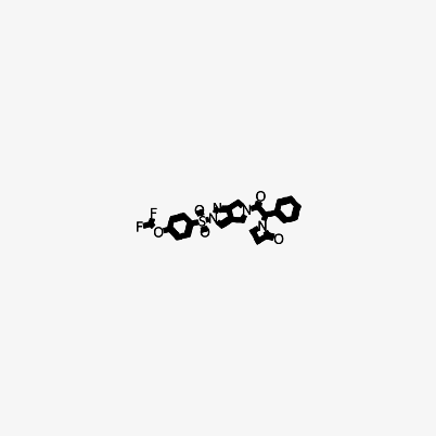 O=C(C(c1ccccc1)N1CCC1=O)N1Cc2cn(S(=O)(=O)c3ccc(OC(F)F)cc3)nc2C1